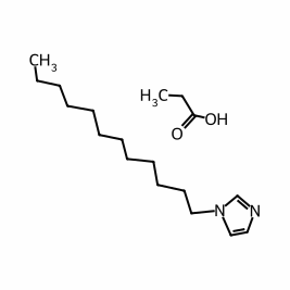 CCC(=O)O.CCCCCCCCCCCCn1ccnc1